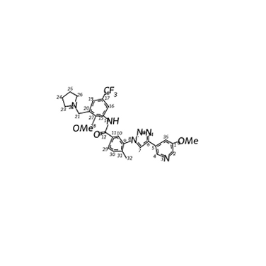 COc1cncc(-c2cn(-c3cc(C(=O)Nc4cc(C(F)(F)F)cc(CN5CCCC5)c4OC)ccc3C)nn2)c1